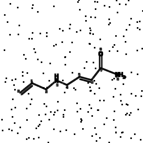 C=CCNCC=CC(N)=O